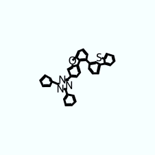 c1ccc(-c2nc(-c3ccccc3)nc(-c3ccc4c(c3)oc3cccc(-c5cccc6c5sc5ccccc56)c34)n2)cc1